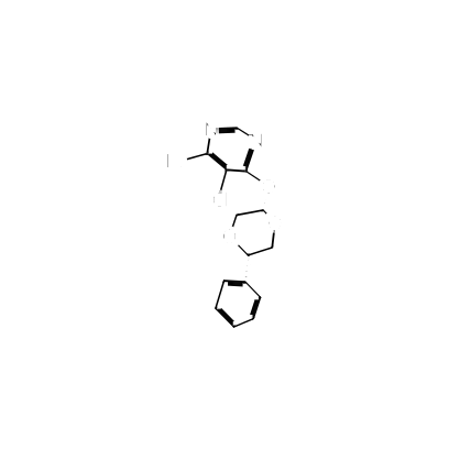 CCc1ncnc(O[C@H]2CO[C@@H](c3ccccc3)CO2)c1Cl